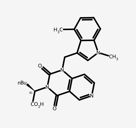 CCCC[C@H](C(=O)O)n1c(=O)c2cnccc2n(Cc2cn(C)c3cccc(C)c23)c1=O